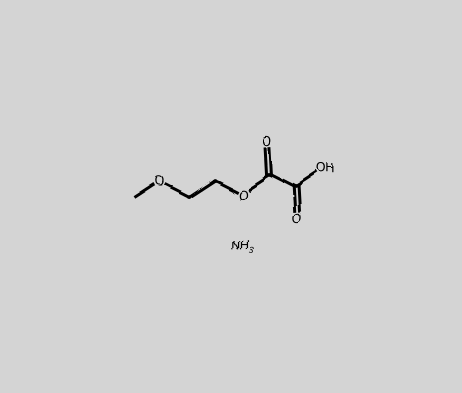 COCCOC(=O)C(=O)O.N